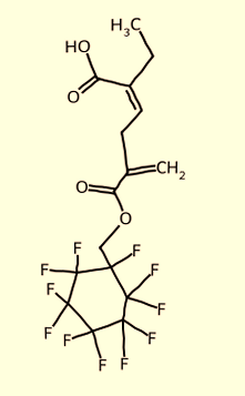 C=C(CC=C(CC)C(=O)O)C(=O)OCC1(F)C(F)(F)C(F)(F)C(F)(F)C(F)(F)C1(F)F